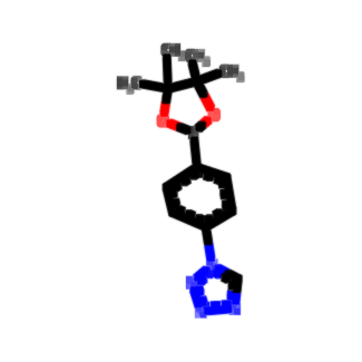 CC1(C)OB(c2ccc(-n3cnnn3)cc2)OC1(C)C